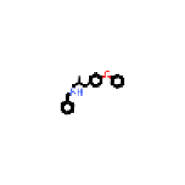 CC(CNCc1ccccc1)Cc1ccc(Oc2ccccc2)cc1